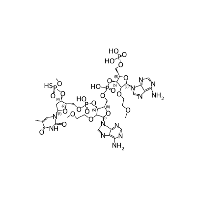 COCCOC1[C@@H](OP(=O)(O)OC[C@H]2O[C@@H](n3cnc4c(N)ncnc43)C(OCCOC)[C@H]2OP(=O)(O)OC[C@H]2O[C@@H](n3cc(C)c(=O)[nH]c3=O)C[C@H]2OP(=O)(S)OC)[C@@H](COP(=O)(O)O)O[C@H]1n1cnc2c(N)ncnc21